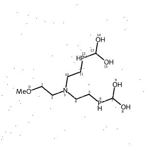 COCCN(CCPC(O)O)CCPC(O)O